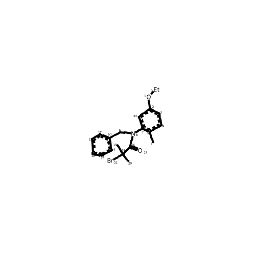 CCOc1ccc(C)c(N(Cc2ccccc2)C(=O)C(C)(C)Br)c1